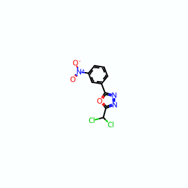 O=[N+]([O-])c1cccc(-c2nnc(C(Cl)Cl)o2)c1